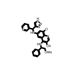 COCC(Nc1c(C#N)cnc2c(Cl)cc(NC(c3cccnc3)c3c[nH]nn3)cc12)c1ccccc1